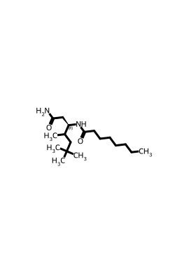 CCCCCCCC(=O)N[C@H](CC(N)=O)C(C)CC(C)(C)C